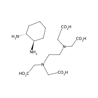 N[C@@H]1CCCC[C@H]1N.O=C(O)CN(CCN(CC(=O)O)CC(=O)O)CC(=O)O